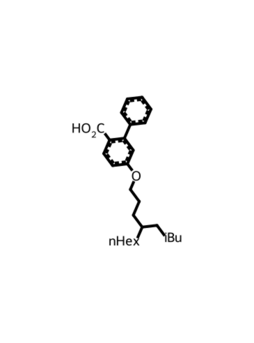 CCCCCCC(CCCOc1ccc(C(=O)O)c(-c2ccccc2)c1)CC(C)CC